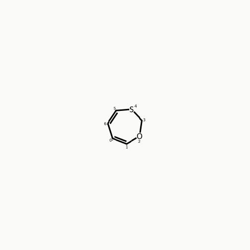 [C]1=COCSC=C1